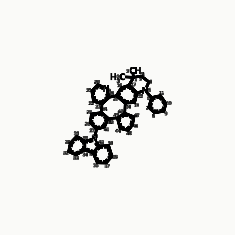 CC1(C)CCN(c2ccccc2)c2cc3c(cc21)-c1ncccc1-c1ccc(-n2c4ccccc4c4ccccc42)cc1-c1ccccc1-3